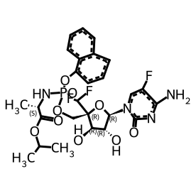 CC(C)OC(=O)[C@H](C)NP(=O)(OC[C@@]1(C(F)F)O[C@@H](n2cc(F)c(N)nc2=O)[C@H](O)[C@H]1O)Oc1cccc2ccccc12